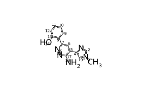 Cn1cnc(-c2cc(-c3ccccc3O)nnc2N)c1